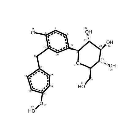 OC[C@H]1O[C@@H](c2ccc(Cl)c(Cc3ccc(OO)cc3)c2)[C@H](O)[C@@H](O)[C@@H]1O